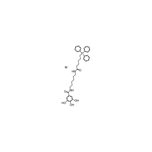 O=C(CCCCC[P+](c1ccccc1)(c1ccccc1)c1ccccc1)NCCCCCCNC(=O)c1cc(O)c(O)c(O)c1.[Br-]